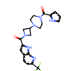 O=C(c1ccc[nH]1)N1CCN(C2CN(C(=O)c3cc4ccc(C(F)(F)F)nc4[nH]3)C2)CC1